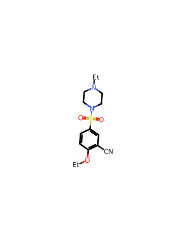 CCOc1ccc(S(=O)(=O)N2CCN(CC)CC2)cc1C#N